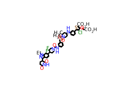 CCn1nc(C2CCC(=O)NC2=O)c2ccc(C3CCN(C(=O)Nc4cccc(CS(=O)(=O)N5CC[C@H](Nc6cccc(-c7sc(C(=O)O)c(OCC(=O)O)c7Cl)c6)CC5(C)C)c4)CC3(F)F)cc21